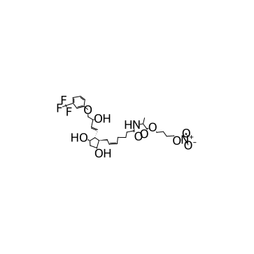 CC(NC(=O)CCC/C=C\C[C@@H]1[C@@H](/C=C/[C@@H](O)COc2cccc(C(F)(F)F)c2)[C@H](O)C[C@@H]1O)C(=O)OCCCCO[N+](=O)[O-]